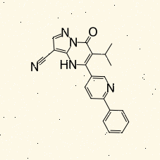 CC(C)c1c(-c2ccc(-c3ccccc3)nc2)[nH]c2c(C#N)cnn2c1=O